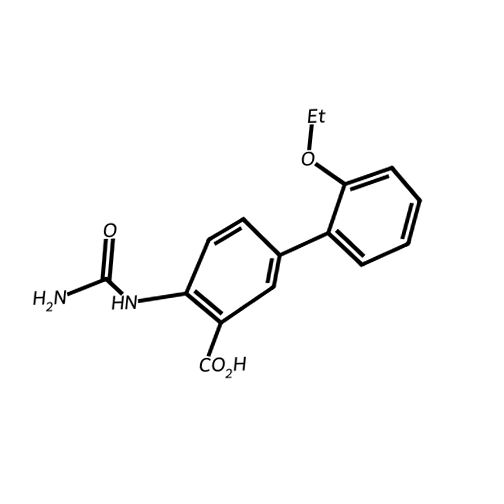 CCOc1ccccc1-c1ccc(NC(N)=O)c(C(=O)O)c1